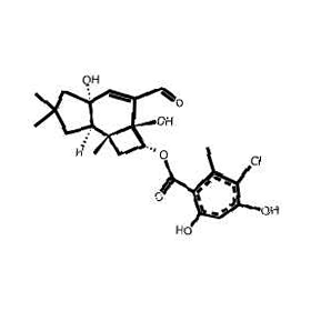 Cc1c(Cl)c(O)cc(O)c1C(=O)O[C@@H]1C[C@]2(C)[C@H]3CC(C)(C)C[C@@]3(O)C=C(C=O)[C@]12O